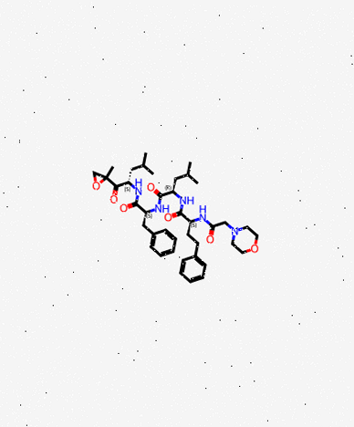 CC(C)C[C@H](NC(=O)[C@H](Cc1ccccc1)NC(=O)[C@@H](CC(C)C)NC(=O)[C@H](CCc1ccccc1)NC(=O)CN1CCOCC1)C(=O)C1(C)CO1